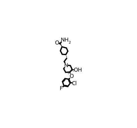 NC(=O)[C@H]1CC[C@H](CCN2CC[C@@H](Oc3ccc(F)cc3Cl)[C@H](O)C2)CC1